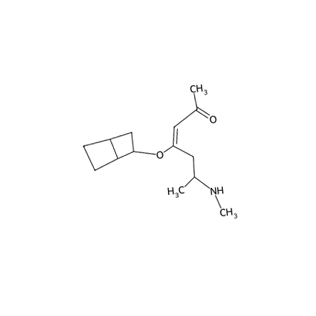 CNC(C)C/C(=C\C(C)=O)OC1CC2CCC21